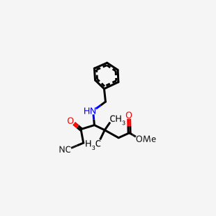 COC(=O)CC(C)(C)C(NCc1ccccc1)C(=O)CC#N